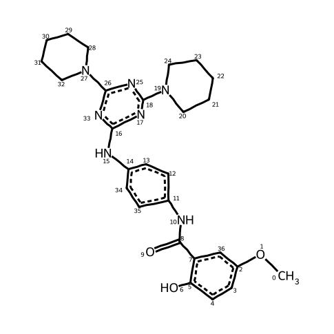 COc1ccc(O)c(C(=O)Nc2ccc(Nc3nc(N4CCCCC4)nc(N4CCCCC4)n3)cc2)c1